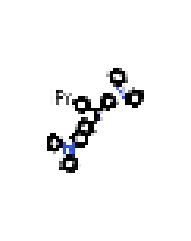 CC(C)c1ccc(/C(=C\c2ccc3cc(N(c4ccccc4)c4ccccc4)ccc3c2)c2ccc(N(c3ccccc3)c3ccccc3)cc2)cc1